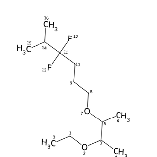 CCOC(C)C(C)OCCCC(F)(F)C(C)C